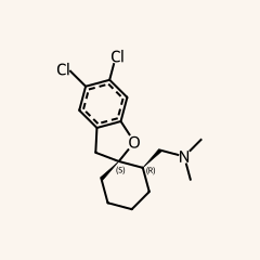 CN(C)C[C@H]1CCCC[C@]12Cc1cc(Cl)c(Cl)cc1O2